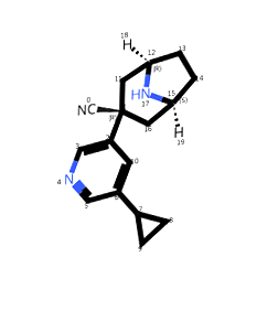 N#C[C@@]1(c2cncc(C3CC3)c2)C[C@H]2CC[C@@H](C1)N2